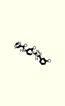 O=C(Nc1ccn(-c2nnc(-c3cccc(Cl)c3)[nH]2)c(=O)c1)c1cscn1